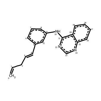 C=CCC=Cc1cccc(Nc2ncnc3ccccc23)c1